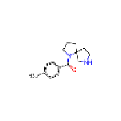 CC(C)(C)c1ccc(C(=O)N2CCCC23CCNC3)cc1